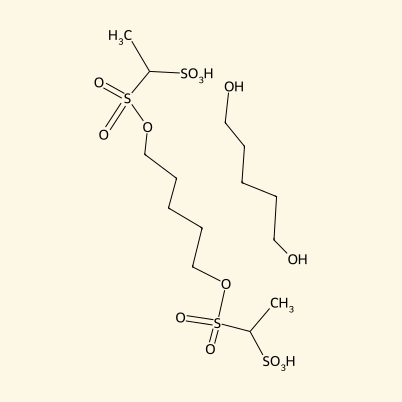 CC(S(=O)(=O)O)S(=O)(=O)OCCCCCOS(=O)(=O)C(C)S(=O)(=O)O.OCCCCCO